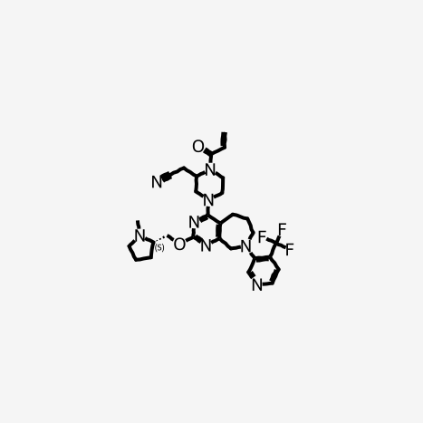 C=CC(=O)N1CCN(c2nc(OC[C@@H]3CCCN3C)nc3c2CCCN(c2cnccc2C(F)(F)F)C3)CC1CC#N